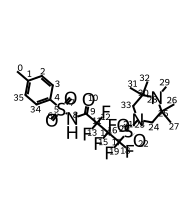 Cc1ccc(S(=O)(=O)NC(=O)C(F)(F)C(F)(F)C(F)(F)S(=O)(=O)N2CC(C)(C)N(C)C(C)(C)C2)cc1